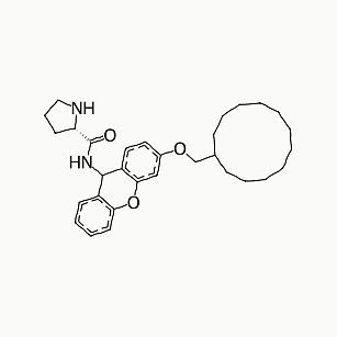 O=C(NC1c2ccccc2Oc2cc(OCC3CCCCCCCCCCC3)ccc21)[C@@H]1CCCN1